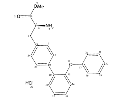 COC(=O)[C@@H](N)Cc1ccc(-c2ccccc2Oc2ccccc2)cc1.Cl